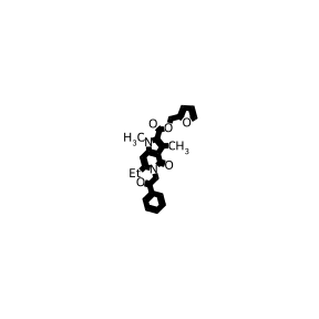 CCc1cc2c(c(C)c(C(=O)OCc3ccco3)n2C)c(=O)n1CC(=O)c1ccccc1